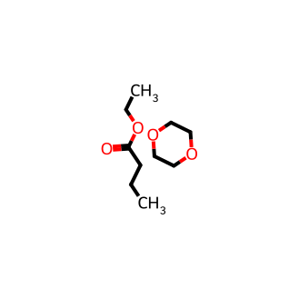 C1COCCO1.CCCC(=O)OCC